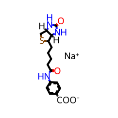 O=C(CCCCC1SC[C@@H]2NC(=O)N[C@H]12)Nc1ccc(C(=O)[O-])cc1.[Na+]